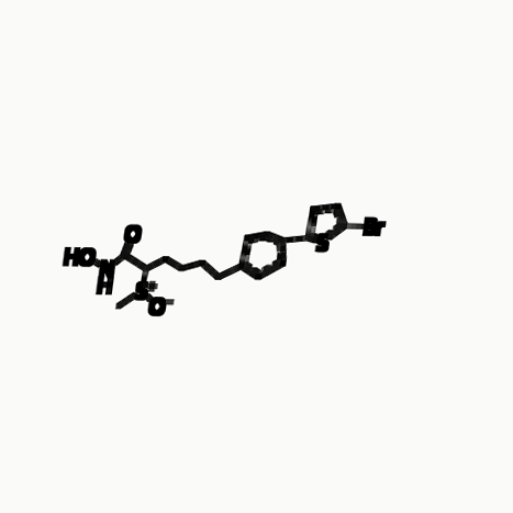 C[S+]([O-])C(CCCCc1ccc(-c2ccc(Br)s2)cc1)C(=O)NO